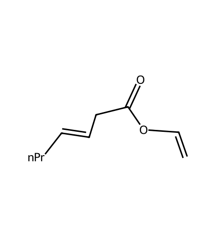 C=COC(=O)CC=CCCC